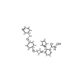 O=C(NO)c1cccc(N2CC(Oc3ccc(OCc4cccnc4)cc3)C2)c1-n1cccc1